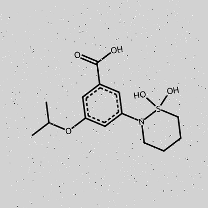 CC(C)Oc1cc(C(=O)O)cc(N2CCCCS2(O)O)c1